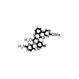 COc1ncc(-c2cccc3nc([C@H](C)Nc4nc(N)ncc4C#N)n(-c4cccc(F)c4)c(=O)c23)cn1